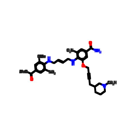 COC(=O)c1cc(OC)c(NCC=CCNc2c(OCC#CCC3CCCN(C(=O)O)C3)cc(C(N)=O)cc2[N+](=O)[O-])c([N+](=O)[O-])c1